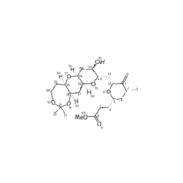 C=C1[C@H](C)C[C@H](CCC(=O)OC)O[C@@H]1C[C@@H]1O[C@H]2C[C@H]3OC(C)(C)OCC[C@H]3O[C@H]2C[C@H]1O